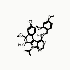 COC(=O)c1cc(Cl)ccc1-c1c(CO)n(C(C)C)c2ncnc(NCc3ccc(OC)cc3OC)c12